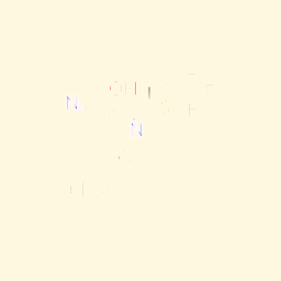 CC(Cl)=CCOc1cc(C#N)c(O)c(-c2ccc(C(F)(F)F)s2)n1